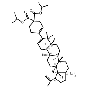 C=C(C)[C@@H]1CC[C@]2(N)CC[C@]3(C)[C@H](CC[C@@H]4[C@@]5(C)CC=C(C6=CCC(C(=O)OC(C)C)(C(=O)OC(C)C)CC6)C(C)(C)[C@@H]5CC[C@]43C)[C@@H]12